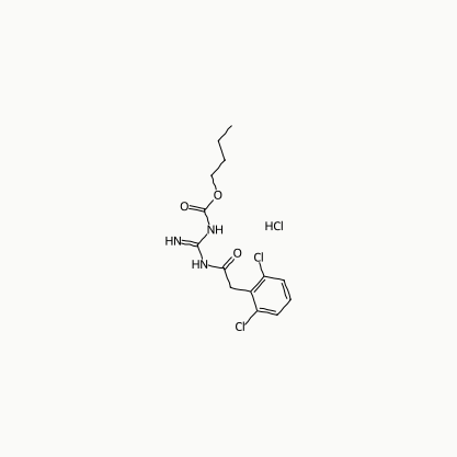 CCCCOC(=O)NC(=N)NC(=O)Cc1c(Cl)cccc1Cl.Cl